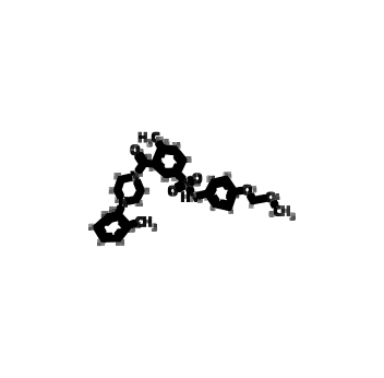 COCOc1ccc(NS(=O)(=O)c2ccc(C)c(C(=O)N3CCN(c4ccccc4C)CC3)c2)cc1